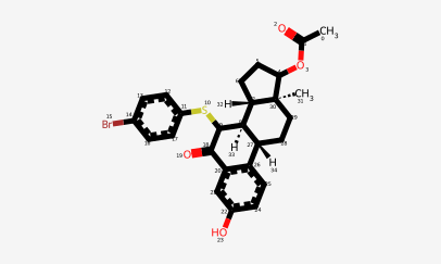 CC(=O)OC1CC[C@H]2[C@@H]3C(Sc4ccc(Br)cc4)C(=O)c4cc(O)ccc4[C@H]3CC[C@]12C